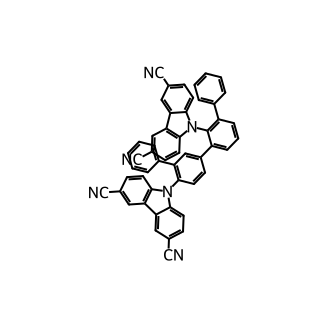 N#Cc1ccc2c(c1)c1cc(C#N)ccc1n2-c1ccc(-c2cccc(-c3ccccc3)c2-n2c3ccc(C#N)cc3c3cc(C#N)ccc32)cc1-c1ccccc1